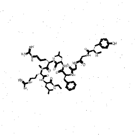 CCNC(=O)[C@@H](CC(C)C)NC(=O)[C@H](CCCNC(=N)N)N(C)C(=O)[C@H](CCCNC(=N)N)NC(=O)[C@H](CC(C)C)NC(=O)[C@H](Cc1ccccc1)NC(=O)CNC(=O)CNC(=O)[C@H](Cc1ccc(O)cc1)NC